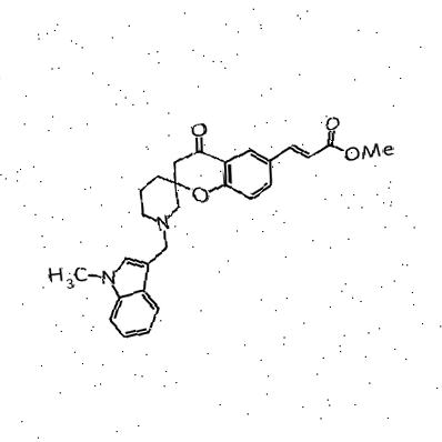 COC(=O)C=Cc1ccc2c(c1)C(=O)CC1(CCCN(Cc3cn(C)c4ccccc34)C1)O2